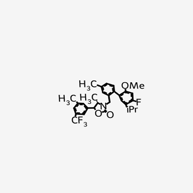 COc1cc(F)c(C(C)C)cc1-c1ccc(C)cc1CN1C(=O)OC(c2cc(C)cc(C(F)(F)F)c2)[C@@H]1C